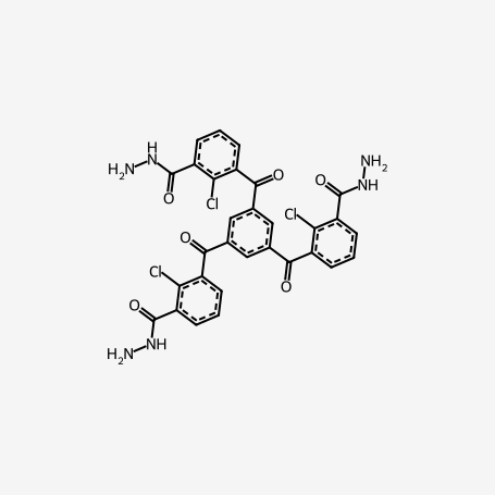 NNC(=O)c1cccc(C(=O)c2cc(C(=O)c3cccc(C(=O)NN)c3Cl)cc(C(=O)c3cccc(C(=O)NN)c3Cl)c2)c1Cl